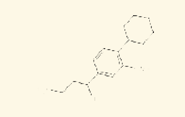 CCOC(=O)CCC(Cl)c1ccc(C2CCCCC2)c(SC)c1